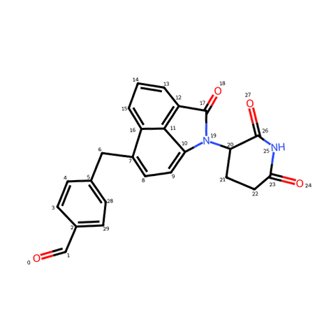 O=Cc1ccc(Cc2ccc3c4c(cccc24)C(=O)N3C2CCC(=O)NC2=O)cc1